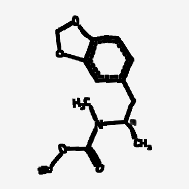 C[C@H](Cc1ccc2c(c1)OCO2)N(C)C(=O)OC(C)(C)C